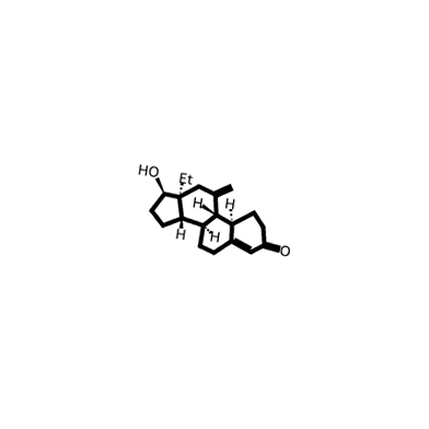 C=C1C[C@]2(CC)[C@H](O)CC[C@H]2[C@@H]2CCC3=CC(=O)CC[C@@H]3[C@@H]12